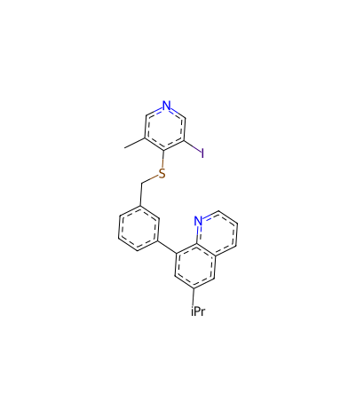 Cc1cncc(I)c1SCc1cccc(-c2cc(C(C)C)cc3cccnc23)c1